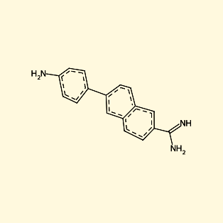 N=C(N)c1ccc2cc(-c3ccc(N)cc3)ccc2c1